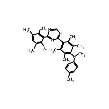 Cc1ccc(N(C)c2c(C)c(C)c(-c3ncnc(-c4c(C)c(C)cc(C)c4C)n3)c(C)c2C)cc1